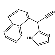 N#CC(c1ncc[nH]1)c1cccc2ccccc12